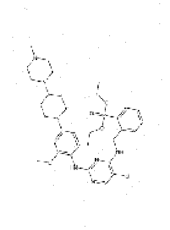 CCOP(=O)(OCC)c1ccccc1CNc1nc(Nc2ccc(N3CCC(N4CCN(C)CC4)CC3)cc2OC)ncc1Cl